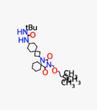 CC(C)(C)NC(=O)NC1CCC2(CC1)CC(N1C(=O)N(COCC[Si](C)(C)C)C(=O)C13CCCCC3)C2